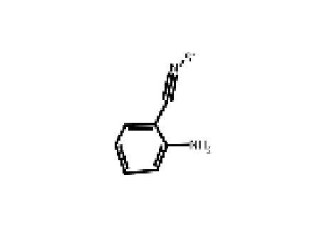 Nc1ccccc1C#[N+][S-]